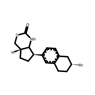 CC(=O)[C@@H]1CCc2cc([C@H]3CC[C@@H]4COC(=O)NC43)ccc2C1